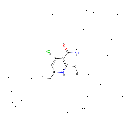 CCc1ccc(C(N)=O)c(CC)n1.Cl